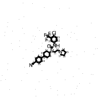 N#Cc1ccc(C2=CCC(N(CCN3CCCC3)C(=O)Nc3ccc(Cl)c(C(F)(F)F)c3)CC2)cc1